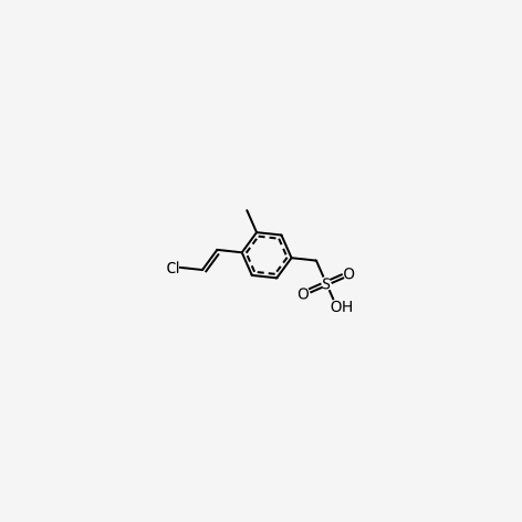 Cc1cc(CS(=O)(=O)O)ccc1C=CCl